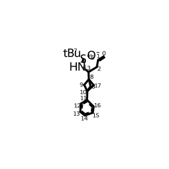 C=CCC(N[S+]([O-])C(C)(C)C)C12CC(c3ccccc3)(C1)C2